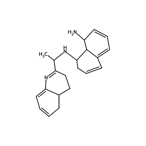 CC(NC1CC=CC2=CC=CC(N)C21)C1=NC2=CC=CCC2CC1